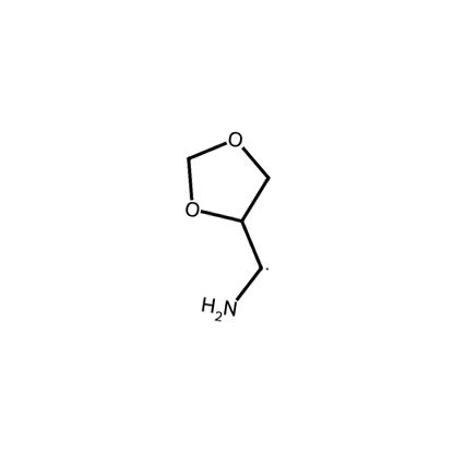 N[CH]C1COCO1